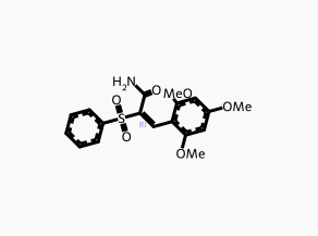 COc1cc(OC)c(/C=C(\C(N)=O)S(=O)(=O)c2ccccc2)c(OC)c1